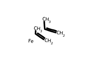 C=CC.C=CC.[Fe]